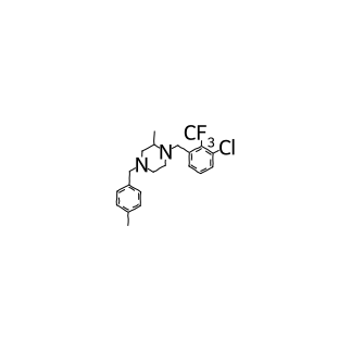 Cc1ccc(CN2CCN(Cc3cccc(Cl)c3C(F)(F)F)C(C)C2)cc1